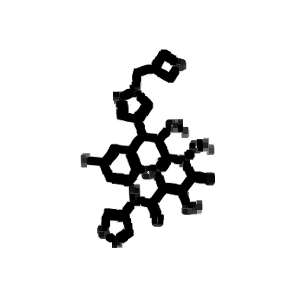 CC(c1nc(C(=O)Nc2cnoc2)c(O)c(=O)n1C)C(c1cnn(CC2COC2)c1)c1cc(F)ccc1Cl